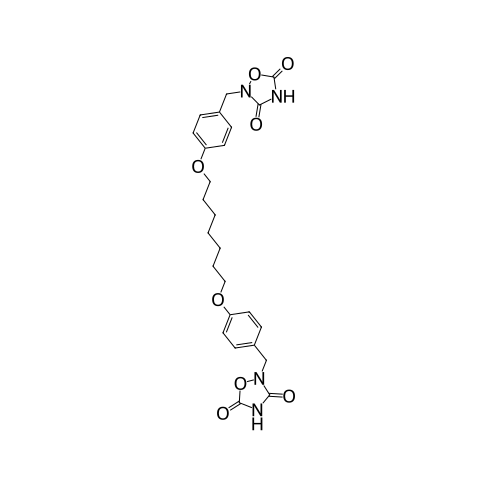 O=c1[nH]c(=O)n(Cc2ccc(OCCCCCCCOc3ccc(Cn4oc(=O)[nH]c4=O)cc3)cc2)o1